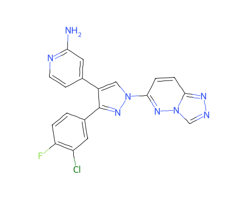 Nc1cc(-c2cn(-c3ccc4nncn4n3)nc2-c2ccc(F)c(Cl)c2)ccn1